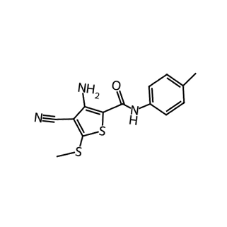 CSc1sc(C(=O)Nc2ccc(C)cc2)c(N)c1C#N